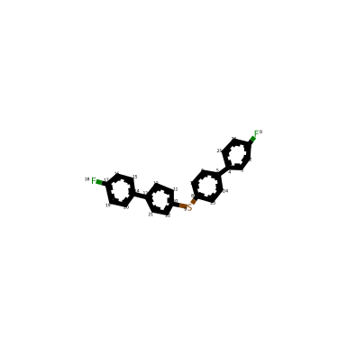 Fc1ccc(-c2ccc(Sc3ccc(-c4ccc(F)cc4)cc3)cc2)cc1